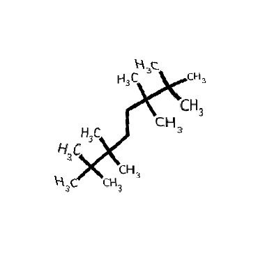 CC(C)(C)C(C)(C)CCC(C)(C)C(C)(C)C